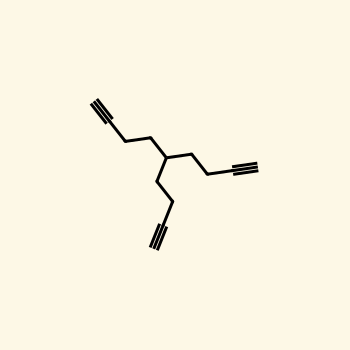 C#CCCC(CCC#C)CCC#C